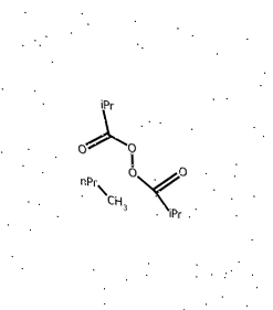 CC(C)C(=O)OOC(=O)C(C)C.CCCC